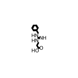 N=C(NCCC(=O)O)NCc1ccccc1